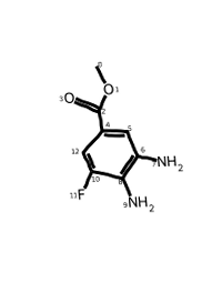 COC(=O)c1cc(N)c(N)c(F)c1